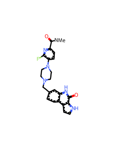 CNC(=O)c1ccc(N2CCN(Cc3ccc4c(c3)[nH]c(=O)c3[nH]ccc34)CC2)c(F)n1